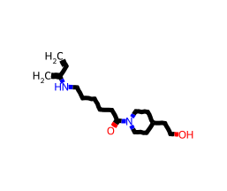 C=CC(=C)NCCCCCC(=O)N1CCC(CCO)CC1